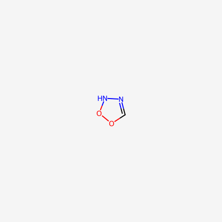 C1=NNOO1